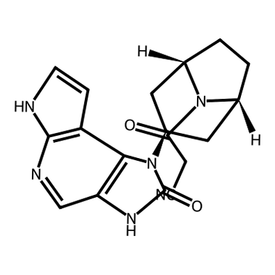 N#CCC(=O)N1[C@@H]2CC[C@H]1C[C@H](n1c(=O)[nH]c3cnc4[nH]ccc4c31)C2